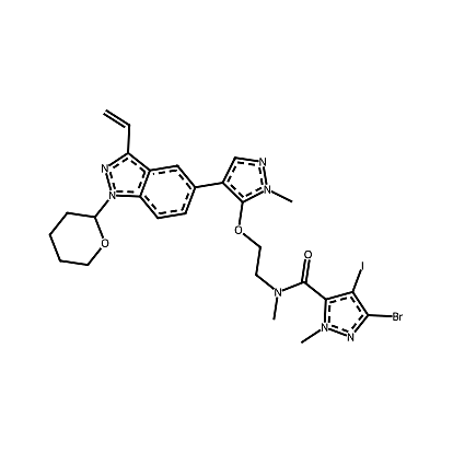 C=Cc1nn(C2CCCCO2)c2ccc(-c3cnn(C)c3OCCN(C)C(=O)c3c(I)c(Br)nn3C)cc12